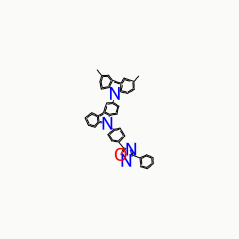 Cc1ccc2c(c1)c1cc(C)ccc1n2-c1ccc2c(c1)c1ccccc1n2-c1ccc(-c2nc(-c3ccccc3)no2)cc1